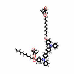 CCCCCCCCCCC(OCC1(CC)COC1)Oc1ccc(N(c2ccccc2)c2ccc(-c3ccc(N(c4ccccc4)c4ccc(OCCCCCCCCCCCOCC5(CC)COC5)cc4)cc3)cc2)cc1